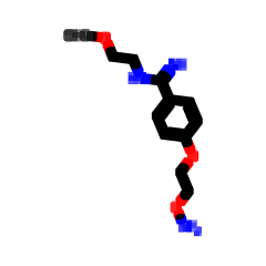 N=C(NCCOC=O)c1ccc(OCCON)cc1